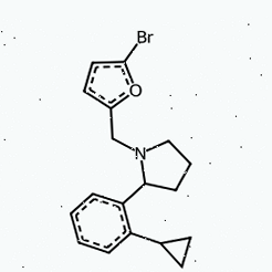 Brc1ccc(CN2CCCC2c2ccccc2C2CC2)o1